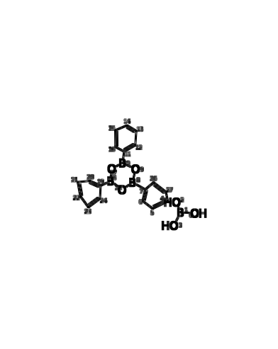 OB(O)O.c1ccc(B2OB(c3ccccc3)OB(c3ccccc3)O2)cc1